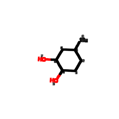 CC(C)(C)C1CCC(O)C(O)C1